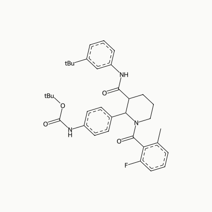 Cc1cccc(F)c1C(=O)N1CCCC(C(=O)Nc2cccc(C(C)(C)C)c2)C1c1ccc(NC(=O)OC(C)(C)C)cc1